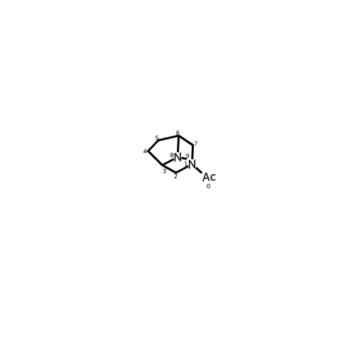 CC(=O)N1CC2CCC(C1)N2C